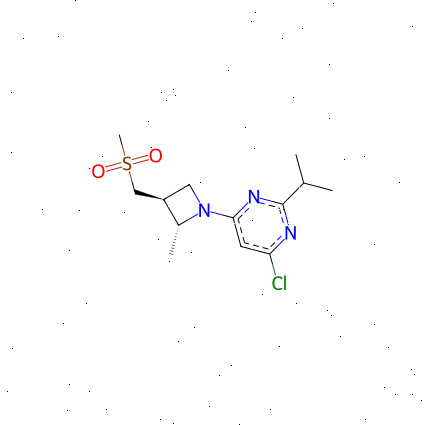 CC(C)c1nc(Cl)cc(N2C[C@H](CS(C)(=O)=O)[C@H]2C)n1